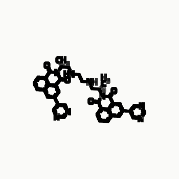 C[C@H](CNCCNC[C@H](C)N1C(=O)c2cccc3cc(-c4cncnc4)cc(c23)C1=O)N1C(=O)c2cccc3cc(-c4cncnc4)cc(c23)C1=O